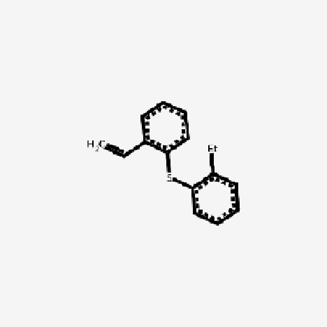 C=Cc1ccccc1Sc1ccccc1CC